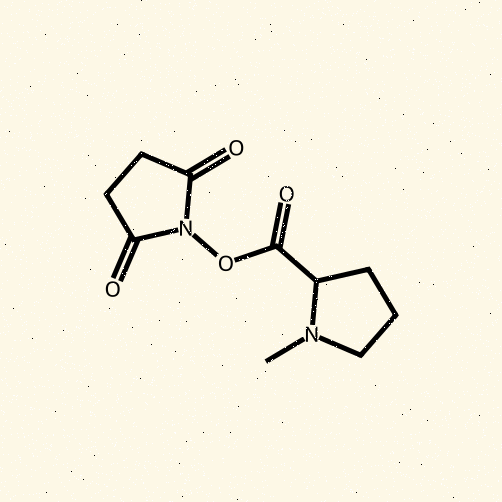 CN1CCCC1C(=O)ON1C(=O)CCC1=O